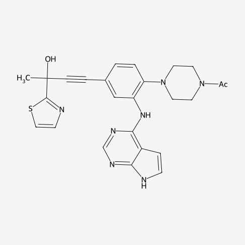 CC(=O)N1CCN(c2ccc(C#CC(C)(O)c3nccs3)cc2Nc2ncnc3[nH]ccc23)CC1